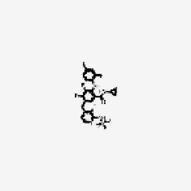 CS(=O)(=O)Nc1nccc(Cc2cc(C(=O)NC3CC3)c(Nc3ccc(I)cc3F)c(F)c2F)c1F